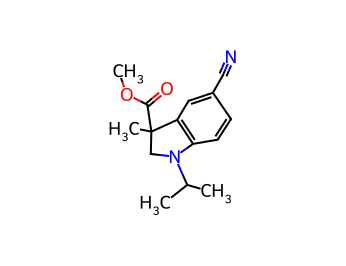 COC(=O)C1(C)CN(C(C)C)c2ccc(C#N)cc21